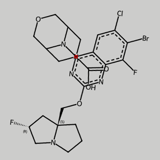 O=C(O)N1CC2COCC(C1)N2c1nc(OC[C@@]23CCCN2C[C@H](F)C3)nc2c(F)c(Br)c(Cl)cc12